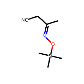 CC(CC#N)=NO[Si](C)(C)C